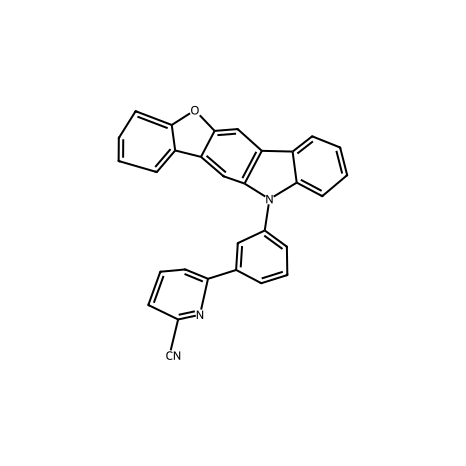 N#Cc1cccc(-c2cccc(-n3c4ccccc4c4cc5oc6ccccc6c5cc43)c2)n1